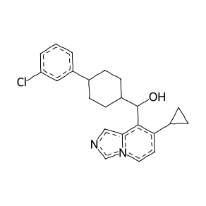 OC(c1c(C2CC2)ccn2cncc12)C1CCC(c2cccc(Cl)c2)CC1